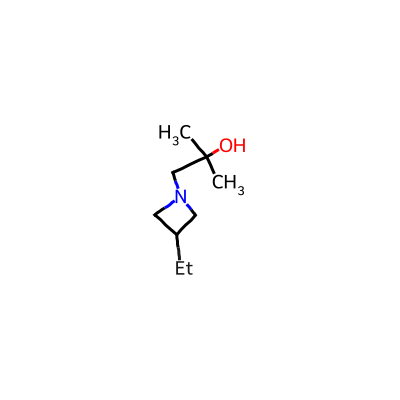 CCC1CN(CC(C)(C)O)C1